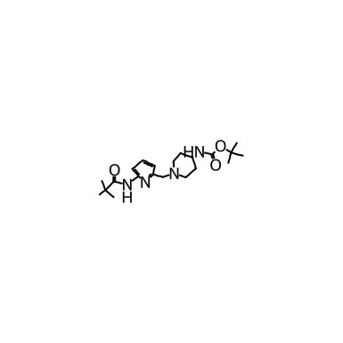 CC(C)(C)OC(=O)NC1CCN(Cc2cccc(NC(=O)C(C)(C)C)n2)CC1